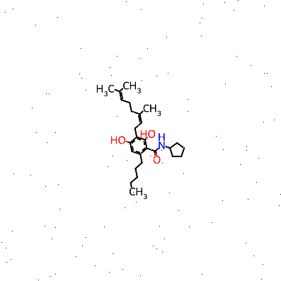 CCCCCc1cc(O)c(CC=C(C)CCC=C(C)C)c(O)c1C(=O)NC1CCCC1